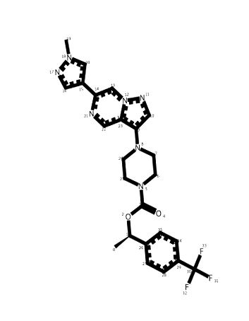 C[C@@H](OC(=O)N1CCN(c2cnn3cc(-c4cnn(C)c4)ncc23)CC1)c1ccc(C(F)(F)F)cc1